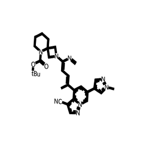 C=N/C(=C\C=C(/C)c1cc(-c2cnn(C)c2)cn2ncc(C#N)c12)N1CC2(CCCCN2C(=O)OC(C)(C)C)C1